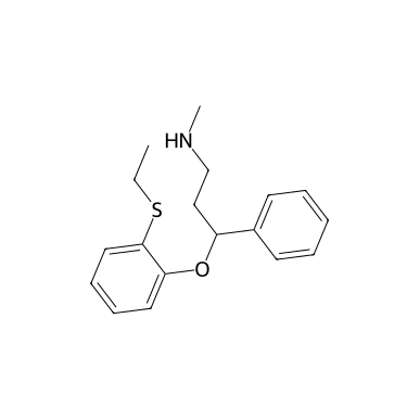 CCSc1ccccc1OC(CCNC)c1ccccc1